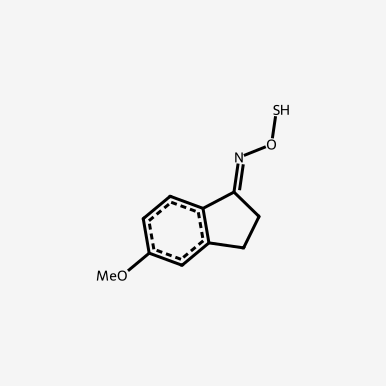 COc1ccc2c(c1)CC/C2=N\OS